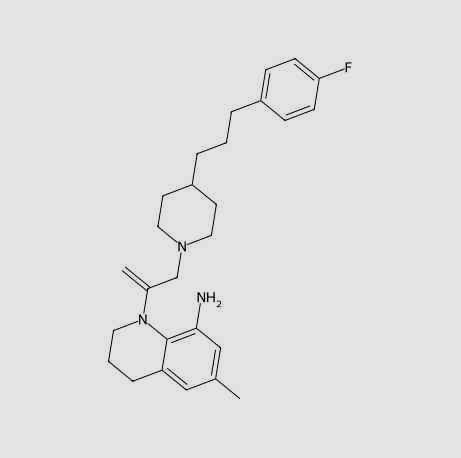 C=C(CN1CCC(CCCc2ccc(F)cc2)CC1)N1CCCc2cc(C)cc(N)c21